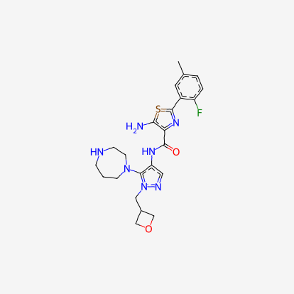 Cc1ccc(F)c(-c2nc(C(=O)Nc3cnn(CC4COC4)c3N3CCCNCC3)c(N)s2)c1